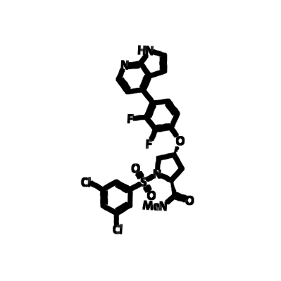 CNC(=O)[C@@H]1C[C@@H](Oc2ccc(-c3ccnc4[nH]ccc34)c(F)c2F)CN1S(=O)(=O)c1cc(Cl)cc(Cl)c1